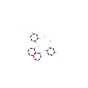 COc1ccc([SiH](O[SiH](c2ccccc2)c2ccc(OC)cc2OC)c2ccccc2)c(OC)c1